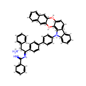 N=C(/N=C(/c1ccc(-c2ccc(-n3c4ccccc4c4ccc5c(c43)Oc3cc4ccccc4cc3O5)cc2)cc1)[C@H](N)c1ccccc1)c1ccccc1